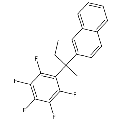 [CH2]C(CC)(c1ccc2ccccc2c1)c1c(F)c(F)c(F)c(F)c1F